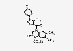 CCOC(=O)N1c2cc(C)c(C)cc2N(C(=O)c2cnn(-c3ccc(Cl)cc3)c2C(F)(F)F)CC1CC